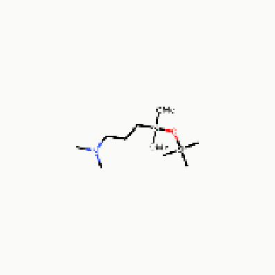 CO[Si](CCCN(C)C)(OC)O[Si](C)(C)C